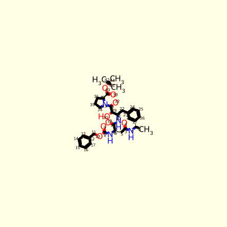 CCNC(=O)C[C@H](NC(=O)OCc1ccccc1)C(=O)NC(Cc1ccccc1)C(O)C(=O)N1CCC[C@H]1C(=O)OC(C)(C)C